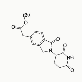 CC(C)(C)OC(=O)Cc1ccc2c(c1)CN(C1CCC(=O)NC1=O)C2=O